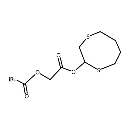 CCC(C)C(=O)OCC(=O)OC1CSCCCCS1